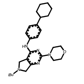 CCC(C)N1Cc2nc(N3CCOCC3)nc(Nc3ccc(C4CCCCC4)cc3)c2C1